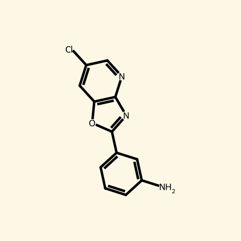 Nc1cccc(-c2nc3ncc(Cl)cc3o2)c1